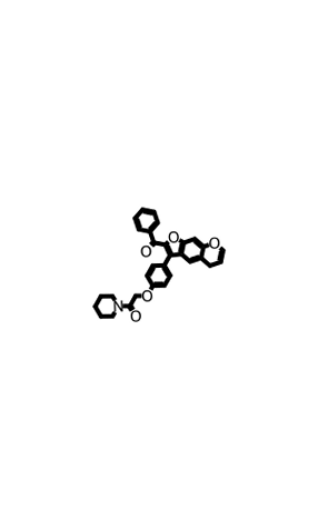 O=C(c1ccccc1)c1oc2cc3c(cc2c1-c1ccc(OCC(=O)N2CCCCC2)cc1)CC=CO3